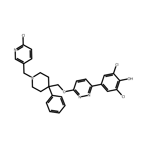 Oc1c(Cl)cc(-c2ccc(OCC3(c4ccccc4)CCN(Cc4ccc(Cl)nc4)CC3)nn2)cc1Cl